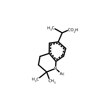 CC(=O)N1c2ccc(C(C)C(=O)O)cc2CCC1(C)C